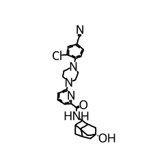 N#Cc1ccc(N2CCN(c3cccc(C(=O)N[C@H]4C5CC6CC4C[C@](O)(C6)C5)n3)CC2)c(Cl)c1